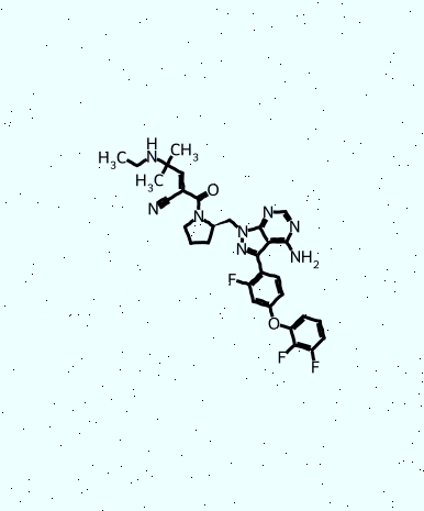 CCNC(C)(C)C=C(C#N)C(=O)N1CCC[C@@H]1Cn1nc(-c2ccc(Oc3cccc(F)c3F)cc2F)c2c(N)ncnc21